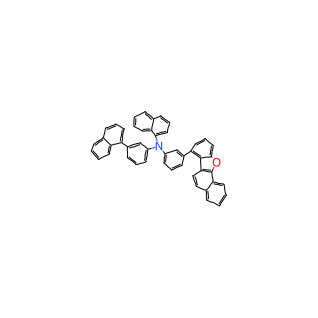 c1cc(-c2cccc3ccccc23)cc(N(c2cccc(-c3cccc4oc5c6ccccc6ccc5c34)c2)c2cccc3ccccc23)c1